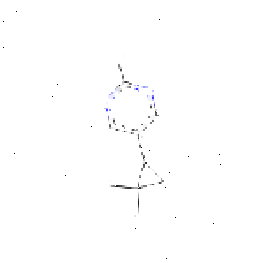 CC(C)(C)c1ncc(C2CC2(C)C)cn1